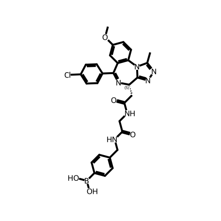 COc1ccc2c(c1)C(c1ccc(Cl)cc1)=N[C@@H](CC(=O)NCC(=O)NCc1ccc(B(O)O)cc1)c1nnc(C)n1-2